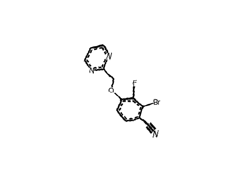 N#Cc1ccc(OCc2ncccn2)c(F)c1Br